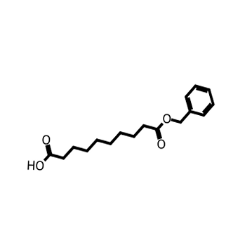 O=C(O)CCCCCCCCC(=O)OCc1ccccc1